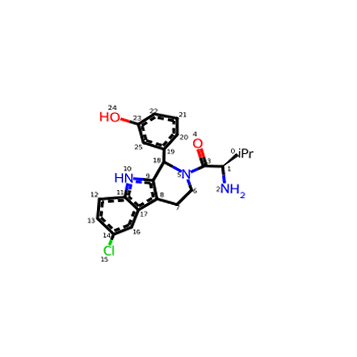 CC(C)[C@@H](N)C(=O)N1CCc2c([nH]c3ccc(Cl)cc23)C1c1cccc(O)c1